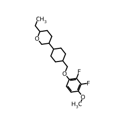 CCC1CCC(C2CCC(COc3ccc(OC)c(F)c3F)CC2)CO1